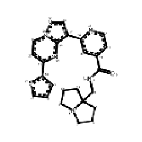 O=C(NCC12CCCN1CCC2)c1ccnc(-c2cnn3ccc(-c4cccs4)nc23)c1